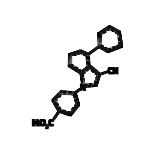 CCOC(=O)c1ccc(-n2cc(C#N)c3c(-c4ccccc4)cccc32)cc1